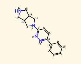 c1ccc(-c2ccc(N3CC4CNCC4C3)nn2)cc1